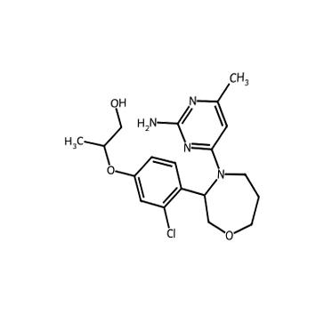 Cc1cc(N2CCCOCC2c2ccc(OC(C)CO)cc2Cl)nc(N)n1